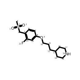 CS(=O)(=O)Cc1ccc(OCCCC2CCNCC2)cc1F